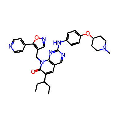 CCC(CC)c1cc2cnc(Nc3ccc(OC4CCN(C)CC4)cc3)nc2n(Cc2cnoc2-c2ccncc2)c1=O